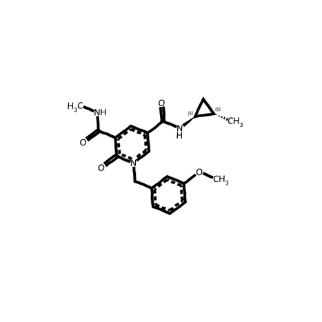 CNC(=O)c1cc(C(=O)N[C@H]2C[C@@H]2C)cn(Cc2cccc(OC)c2)c1=O